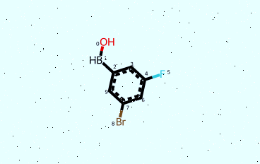 OBc1cc(F)cc(Br)c1